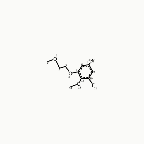 COCCOc1cc(Br)cc(F)c1OC